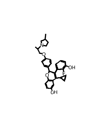 CC1CCN(C(C)COc2ccc(C3Oc4ccc(O)cc4C(C4CC4)=C3c3cccc(O)c3F)cc2)C1